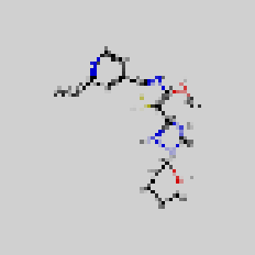 CCOc1nc(-c2ccnc(NC(C)=O)c2)sc1-c1ncn(C2CCCCO2)n1